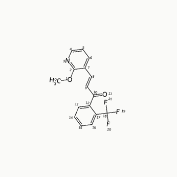 COc1ncccc1C=CC(=O)c1ccccc1C(F)(F)F